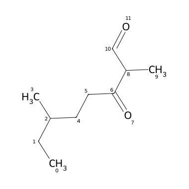 CCC(C)CCC(=O)C(C)C=O